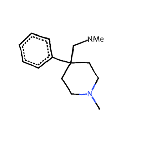 [CH2-][NH2+]CC1(c2ccccc2)CCN(C)CC1